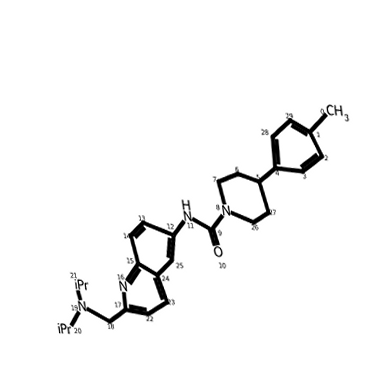 Cc1ccc(C2CCN(C(=O)Nc3ccc4nc(CN(C(C)C)C(C)C)ccc4c3)CC2)cc1